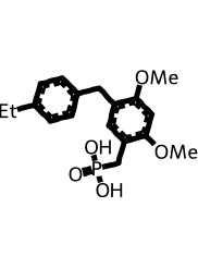 CCc1ccc(Cc2cc(CP(=O)(O)O)c(OC)cc2OC)cc1